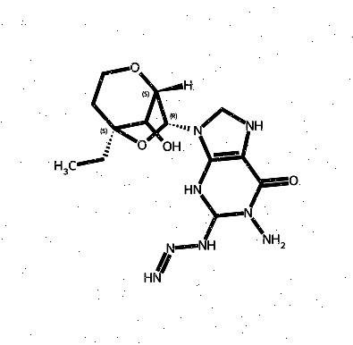 CC[C@]12CCO[C@@H](C1O)[C@H](N1CNC3=C1NC(NN=N)N(N)C3=O)O2